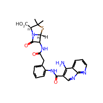 CC1(C)S[C@@H]2C(NC(=O)Cc3ccccc3NC(=O)c3cnc4ncccc4c3N)C(=O)N2[C@H]1C(=O)O